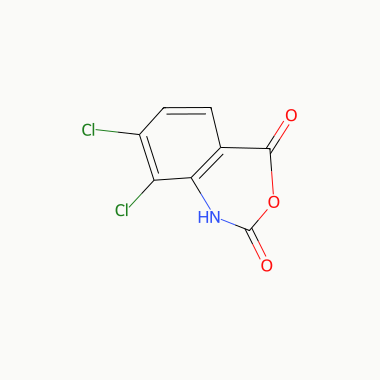 O=c1[nH]c2c(Cl)c(Cl)ccc2c(=O)o1